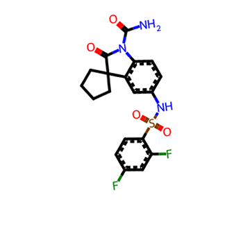 NC(=O)N1C(=O)C2(CCCC2)c2cc(NS(=O)(=O)c3ccc(F)cc3F)ccc21